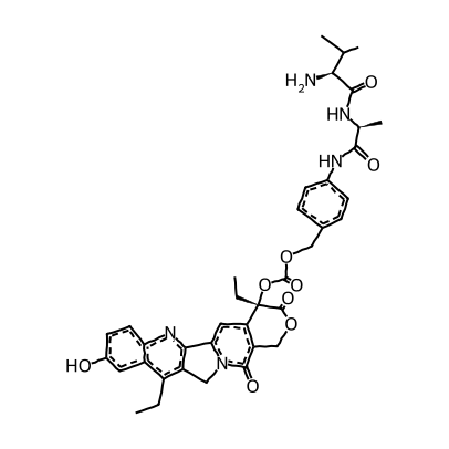 CCc1c2c(nc3ccc(O)cc13)-c1cc3c(c(=O)n1C2)COC(=O)[C@@]3(CC)OC(=O)OCc1ccc(NC(=O)[C@H](C)NC(=O)[C@@H](N)C(C)C)cc1